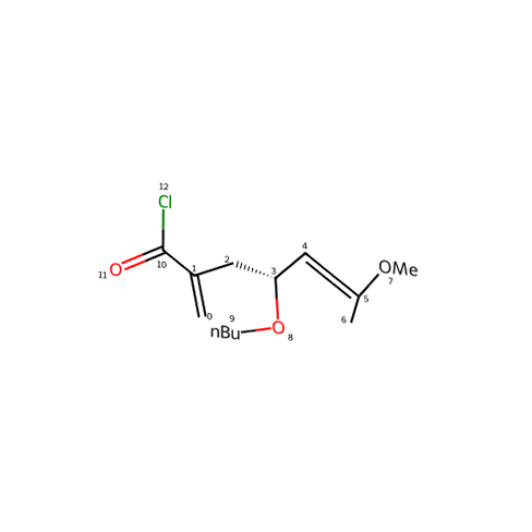 C=C(C[C@H](/C=C(\C)OC)OCCCC)C(=O)Cl